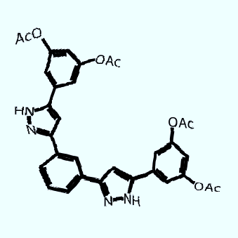 CC(=O)Oc1cc(OC(C)=O)cc(-c2cc(-c3cccc(-c4cc(-c5cc(OC(C)=O)cc(OC(C)=O)c5)[nH]n4)c3)n[nH]2)c1